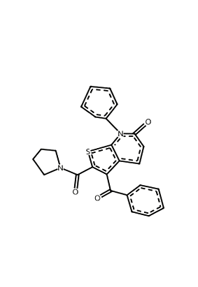 O=C(c1ccccc1)c1c(C(=O)N2CCCC2)sc2c1ccc(=O)n2-c1ccccc1